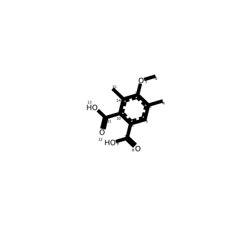 COc1c(C)cc(C(=O)O)c(C(=O)O)c1C